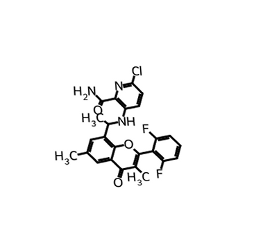 Cc1cc(C(C)Nc2ccc(Cl)nc2C(N)=O)c2oc(-c3c(F)cccc3F)c(C)c(=O)c2c1